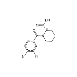 O=C(O)[C@@H]1CCCCN1C(=O)c1ccc(Br)c(Cl)c1